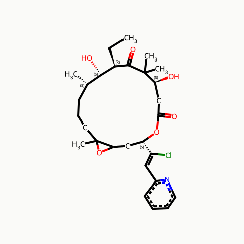 CC[C@H]1C(=O)C(C)(C)[C@@H](O)CC(=O)O[C@H](C(Cl)=Cc2ccccn2)CC2OC2(C)CCC[C@H](C)[C@@H]1O